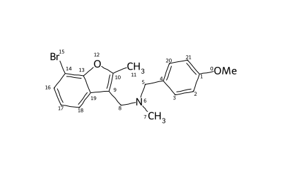 COc1ccc(CN(C)Cc2c(C)oc3c(Br)cccc23)cc1